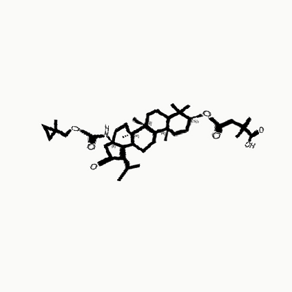 CC(C)C1=C2C3CCC4[C@@]5(C)CC[C@H](OC(=O)CC(C)(C)C(=O)O)C(C)(C)C5CC[C@@]4(C)[C@]3(C)CC[C@@]2(NC(=O)OCC2(C)CC2)CC1=O